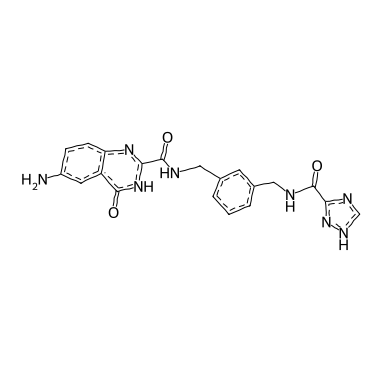 Nc1ccc2nc(C(=O)NCc3cccc(CNC(=O)c4nc[nH]n4)c3)[nH]c(=O)c2c1